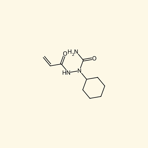 C=CC(=O)NN(C(N)=O)C1CCCCC1